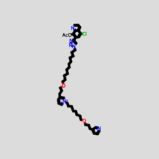 CC(=O)Oc1c(-c2cn(CCCCCCCCCCCCOCCCc3ccc[n+](CCCCCCCCOCCCc4cccnc4)c3)nn2)cc(Cl)c2cccnc12